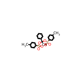 Cc1ccc(S(=O)(=O)OC(C#N)(OS(=O)(=O)c2ccc(C)cc2)c2ccccc2)cc1